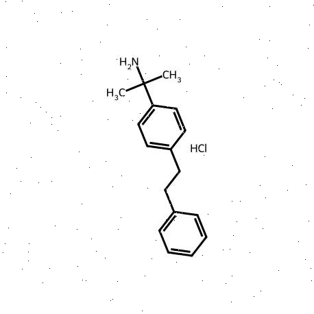 CC(C)(N)c1ccc(CCc2ccccc2)cc1.Cl